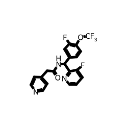 O=C(Cc1ccncc1)NC(c1ccc(OC(F)(F)F)c(F)c1)c1ncccc1F